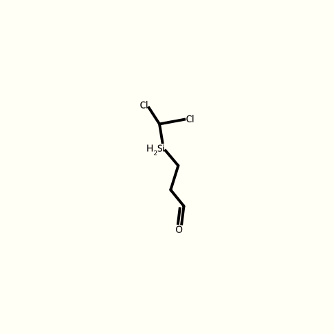 O=CCC[SiH2]C(Cl)Cl